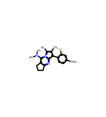 CCCN(CCC)c1c2c(nc3c(-c4ccc(OC)cc4Cl)c(C)c(C#N)n13)CCC2